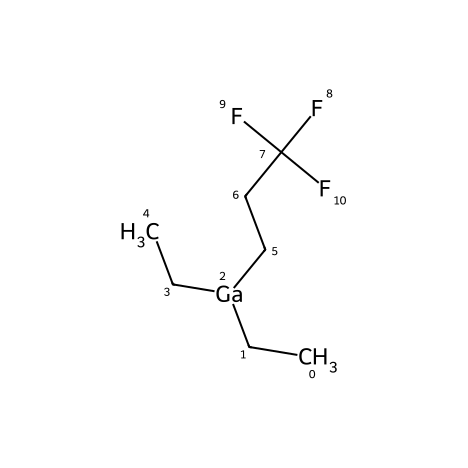 C[CH2][Ga]([CH2]C)[CH2]CC(F)(F)F